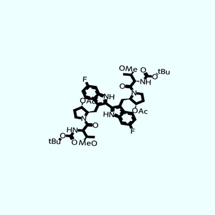 CO[C@H](C)C(NC(=O)OC(C)(C)C)C(=O)N1CC[C@H](OC(C)=O)[C@H]1Cc1c(-c2[nH]c3cc(F)ccc3c2C[C@@H]2[C@@H](OC(C)=O)CCN2C(=O)[C@@H](NC(=O)OC(C)(C)C)[C@@H](C)OC)[nH]c2cc(F)ccc12